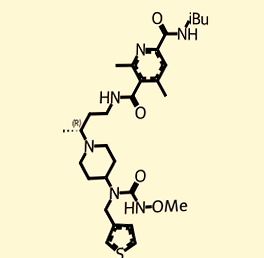 CCC(C)NC(=O)c1cc(C)c(C(=O)NCC[C@@H](C)N2CCC(N(Cc3ccsc3)C(=O)NOC)CC2)c(C)n1